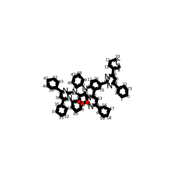 c1ccc(-c2cc(-c3ccccc3)nc(-c3ccc(N4c5ccccc5N(c5nc(-c6ccccc6)cc(-c6ccccc6)n5)c5ccccc54)c(-c4cc(-c5ccccc5)nc(-c5ccccc5)n4)c3)n2)cc1